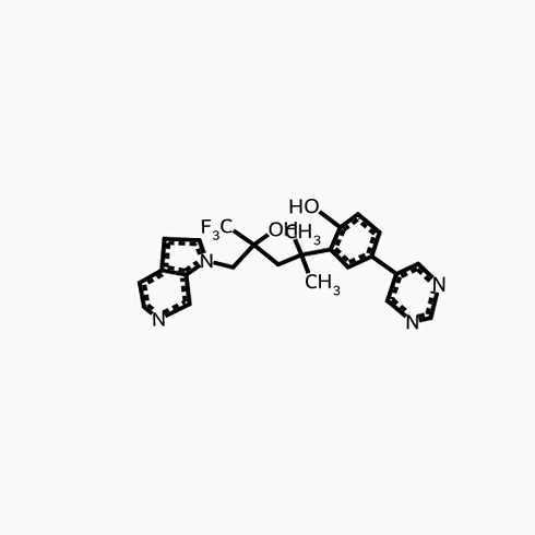 CC(C)(CC(O)(Cn1ccc2ccncc21)C(F)(F)F)c1cc(-c2cncnc2)ccc1O